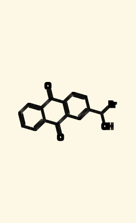 O=C1c2ccccc2C(=O)c2cc(C(O)Br)ccc21